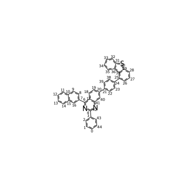 c1ccc(-c2nc(-c3ccc4ccccc4c3)c3ccc(-c4ccc(-c5cccc6sc7ccccc7c56)cc4)cc3n2)cc1